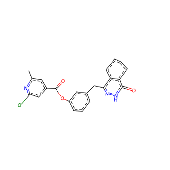 Cc1cc(C(=O)Oc2cccc(Cc3n[nH]c(=O)c4ccccc34)c2)cc(Cl)n1